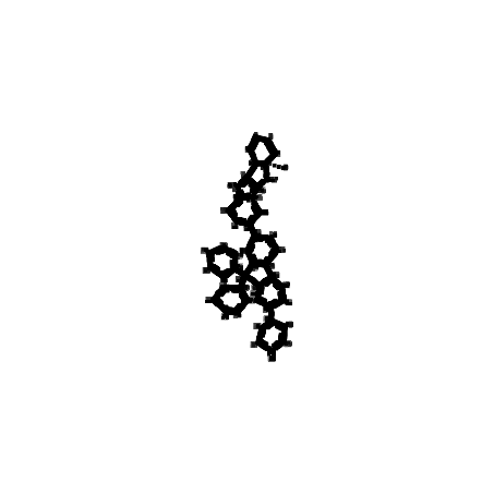 C[C@@]12C=CC=CC1c1nc3ccc(-c4ccc5c(c4)C(c4ccccc4)(c4ccccc4)c4cc(-c6ccncc6)ccc4-5)cn3c1S2